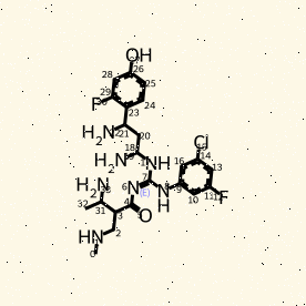 CNCC(C(=O)/N=C(\Nc1cc(F)cc(Cl)c1)NC(N)CC(N)c1ccc(O)cc1F)C(C)N